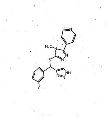 Cn1c(SC(c2cccc(Cl)c2)c2c[nH]nn2)nnc1-c1ccncc1